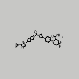 NC(=O)[C@H]1CC(F)(F)CCN1c1ccc(C2CN(C(=O)N3CC4(CC(n5cnc(C6CC6)n5)C4)C3)C2)cc1